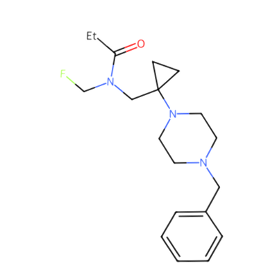 CCC(=O)N(CF)CC1(N2CCN(Cc3ccccc3)CC2)CC1